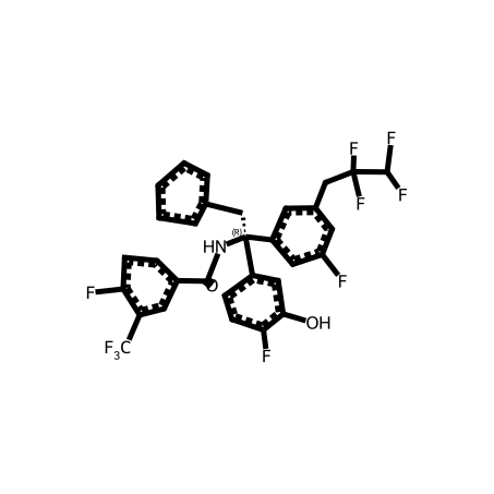 O=C(N[C@@](Cc1ccccc1)(c1cc(F)cc(CC(F)(F)C(F)F)c1)c1ccc(F)c(O)c1)c1ccc(F)c(C(F)(F)F)c1